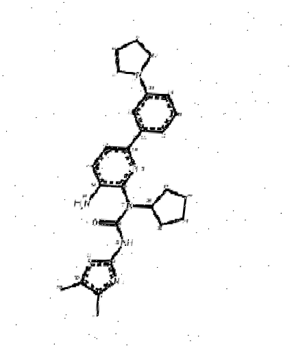 Cc1nc(NC(=O)N(c2nc(-c3cccc(N4CCCC4)c3)ccc2N)C2CCCC2)sc1C